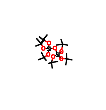 CC(C)(C)O[Si](OC(C)(C)C)(OC(C)(C)C)O[Si](OC(C)(C)C)(OC(C)(C)C)OC(C)(C)C